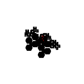 CC(C)(C)c1ccc(N2c3cc(N(c4ccccc4)c4ccccc4)ccc3B3c4ccc(N(c5ccccc5)c5ccccc5)cc4N(c4ccc(C(C)(C)C)cc4-c4ccccc4)c4cc(C(C)(C)C)cc2c43)cc1